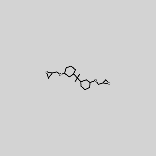 CC(C)(C1CCCC(OCC2CO2)C1)C1CCCC(OCC2CO2)C1